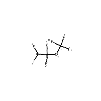 F[C](F)C(F)(F)OC(F)(F)F